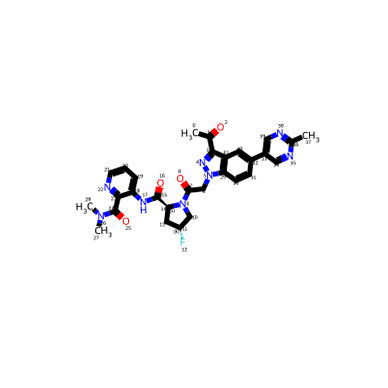 CC(=O)c1nn(CC(=O)N2C[C@H](F)C[C@H]2C(=O)Nc2cccnc2C(=O)N(C)C)c2ccc(-c3cnc(C)nc3)cc12